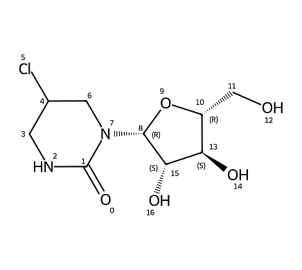 O=C1NCC(Cl)CN1[C@@H]1O[C@H](CO)[C@@H](O)[C@@H]1O